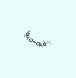 CCCc1ccc(C(F)(F)OC2CCC(C#CC3CCC(C(F)(F)Oc4ccc(C(F)(F)F)c(F)c4)CC3)CC2)c(F)c1